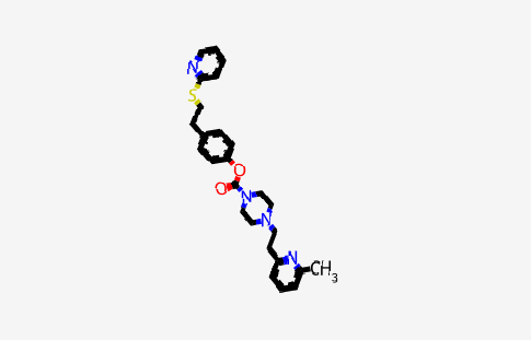 Cc1cccc(CCN2CCN(C(=O)Oc3ccc(CCSc4ccccn4)cc3)CC2)n1